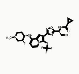 CN1CC[C@@H](Nc2cccn3c(SC(F)(F)F)c(-c4noc([C@H](CO)NC(=O)C5CC5)n4)cc23)[C@@H](F)C1